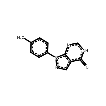 Cc1ccc(-n2ncc3c(=O)[nH]cnc32)cc1